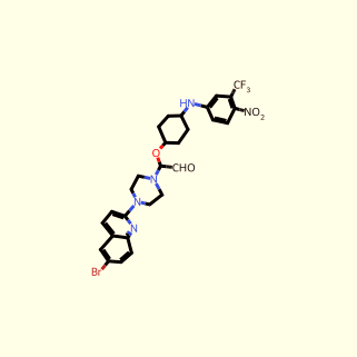 O=CC(OC1CCC(Nc2ccc([N+](=O)[O-])c(C(F)(F)F)c2)CC1)N1CCN(c2ccc3cc(Br)ccc3n2)CC1